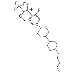 CCCCCC1CCC(C2CCC(c3cc(F)c4c(c3)COC(C(F)(F)F)C4(F)F)CC2)CC1